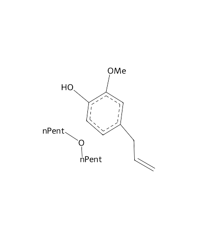 C=CCc1ccc(O)c(OC)c1.CCCCCOCCCCC